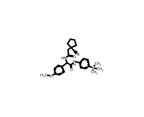 COc1ccc(C(NC(=O)CC2(C#N)CCCC2)C(=O)Nc2ccc(S(C)(C)C)cc2)cc1